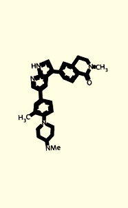 CNC1CCN(c2ccc(-c3cnc4[nH]cc(-c5ccc6c(c5)CCN(C)C6=O)c4c3)cc2C)CC1